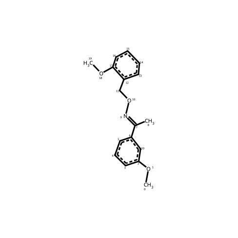 COc1cccc(C(C)=NOCc2[c]cccc2OC)c1